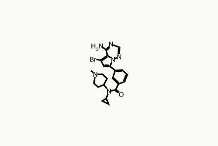 CN1CCC(N(C(=O)c2cccc(-c3cc(Br)c4c(N)ncnn34)c2)C2CC2)CC1